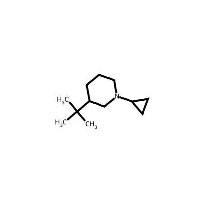 CC(C)(C)C1CCCN(C2CC2)C1